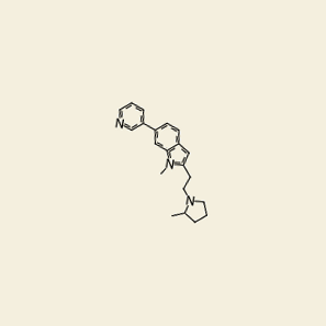 CC1CCCN1CCc1cc2ccc(-c3cccnc3)cc2n1C